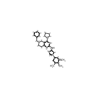 Cc1cc(-n2cnc(Nc3nc4c(c(N5CCCC5)n3)CN(Cc3ccccc3)CC4)c2)cc(C)c1C